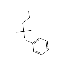 FCCC(F)(F)Oc1c[c]ccc1